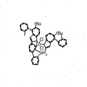 CC1=Cc2c(ccc(C(C)(C)C)c2-c2ccccc2C)[CH]1[Zr]([Cl])([Cl])([c]1cccc2c1[SiH2]c1ccccc1-2)[CH]1C(C)=Cc2c1ccc(C(C)(C)C)c2-c1ccccc1C